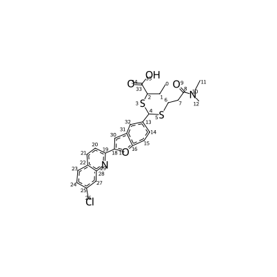 CCC(SC(SCCC(=O)N(C)C)c1ccc2oc(-c3ccc4ccc(Cl)cc4n3)cc2c1)C(=O)O